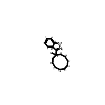 CC1(C2=N[N]c3ccccc32)CCCCCCCCC1